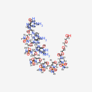 CC(C)N1C[C@@H](COP(=O)(N(C)C)N2C[C@@H](COP(=O)(N(C)C)N3C[C@@H](COP(=O)(N(C)C)N4C[C@@H](COP(=O)(N(C)C)N5C[C@@H](COP(=O)(N(C)C)N6C[C@@H](COP(=O)(N(C)C)N7CCN(C(=O)OCCOCCOCCO)CC7)O[C@@H](C)C6)O[C@@H](C)C5)O[C@@H](C)C4)O[C@@H](n4cnc5c(=O)[nH]c(N)nc54)C3)O[C@@H](n3cnc4c(N)ncnc43)C2)O[C@@H](n2cnc3c(=O)[nH]c(N)nc32)C1